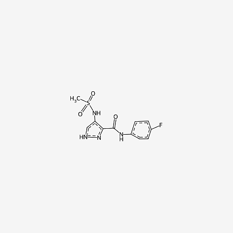 CS(=O)(=O)Nc1c[nH]nc1C(=O)Nc1ccc(F)cc1